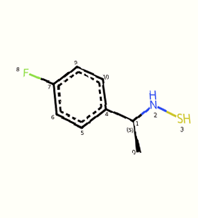 C[C@H](NS)c1ccc(F)cc1